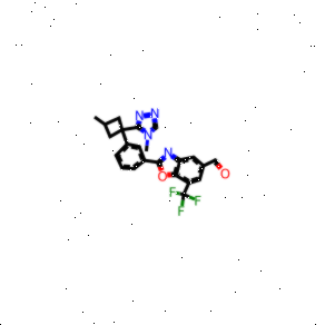 CC1CC(c2cccc(-c3nc4cc(C=O)cc(C(F)(F)F)c4o3)c2)(c2nncn2C)C1